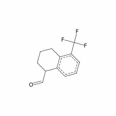 O=CC1CCCc2c1cccc2C(F)(F)F